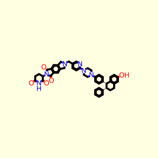 O=C1CCC(N2C(=O)c3cc4c(cc3C2=O)CN(Cc2ccc(N3CCN(c5ccc([C@@H]6c7ccc(O)cc7CC[C@@H]6c6ccccc6)cc5)CC3)nc2)C4)C(=O)N1